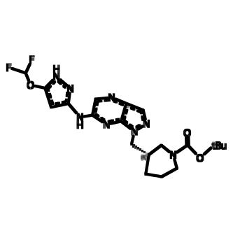 CC(C)(C)OC(=O)N1CCC[C@H](Cn2ncc3ncc(Nc4cc(OC(F)F)[nH]n4)nc32)C1